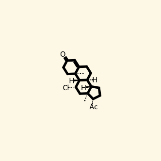 CC(=O)[C@H]1CC[C@H]2[C@@H]3CCC4=CC(=O)CC[C@]4(C)[C@H]3[C@@H](Cl)C[C@]12C